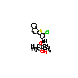 CC(C)(O)C(C)(C)OBc1cc(Cl)c2sc3c4ccccc4ccc3c2c1